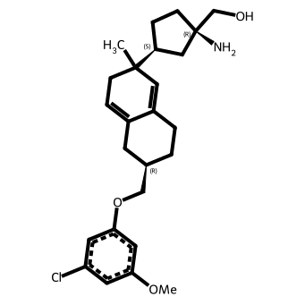 COc1cc(Cl)cc(OC[C@@H]2CCC3=CC(C)([C@H]4CC[C@](N)(CO)C4)CC=C3C2)c1